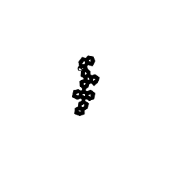 c1ccc2cc(-c3c4ccccc4c(-c4ccc5c(c4)c4ccccc4c4cc6c(cc54)oc4ccc5ccccc5c46)c4ccccc34)ccc2c1